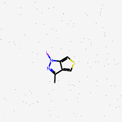 Cc1nn(I)c2cscc12